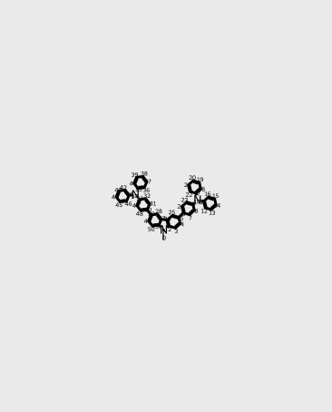 In1c2ccc(-c3ccc(N(c4ccccc4)c4ccccc4)cc3)cc2c2cc(-c3ccc(N(c4ccccc4)c4ccccc4)cc3)ccc21